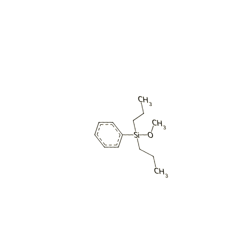 CCC[Si](CCC)(OC)c1ccccc1